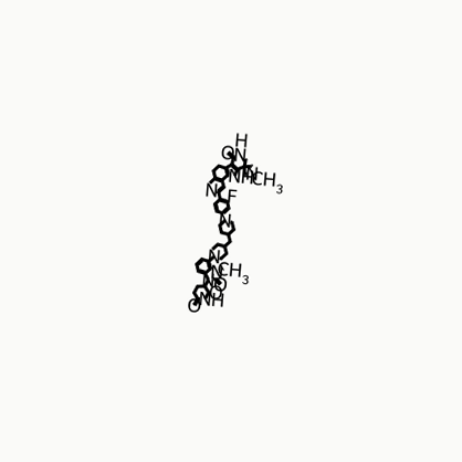 CN1CC2(CNC(=O)c3c2[nH]c2c3CCc3cnc(-c4ccc(N5CCC(CC6CCN(c7cccc8c7n(C)c(=O)n8C7CCC(=O)NC7=O)CC6)CC5)cc4F)cc3-2)C1